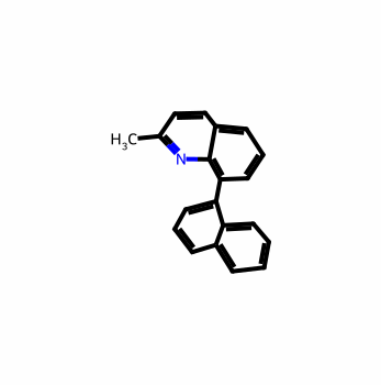 Cc1ccc2cccc(-c3cccc4ccccc34)c2n1